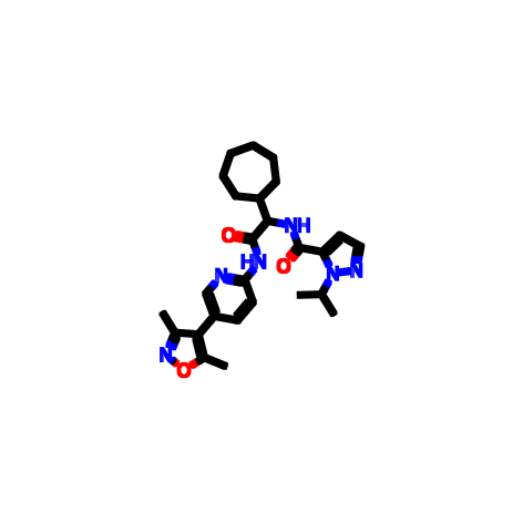 Cc1noc(C)c1-c1ccc(NC(=O)C(NC(=O)c2ccnn2C(C)C)C2CCCCCC2)nc1